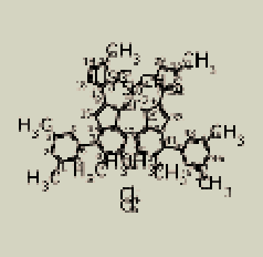 Cc1cc(C)cc(-c2c(C)c(C)cc3c2C=C(c2ccc(C)s2)[CH]3[Zr+2]([CH]2C(c3ccc(C)s3)=Cc3c2cc(C)c(C)c3-c2cc(C)cc(C)c2)=[Si](C)C)c1.[Cl-].[Cl-]